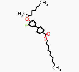 CCCCCCCCCCOC(=O)c1ccc(-c2ccc(O[C@@H](C)CCCCCC)c(F)c2)cc1